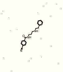 N#Cc1ccc(C(=O)NCCCNCCc2ccccc2)cc1